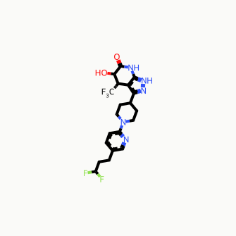 O=C1Nc2[nH]nc(C3CCN(c4ccc(CCC(F)F)cn4)CC3)c2C(C(F)(F)F)C1O